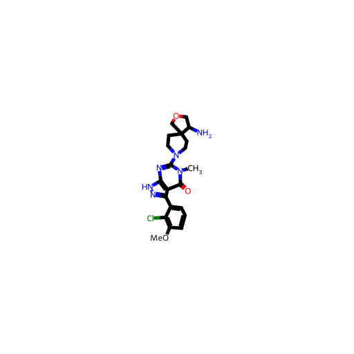 COc1cccc(-c2n[nH]c3nc(N4CCC5(CC4)COCC5N)n(C)c(=O)c23)c1Cl